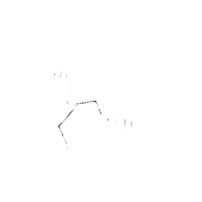 CCC[C@@H](CBr)CC(=O)O